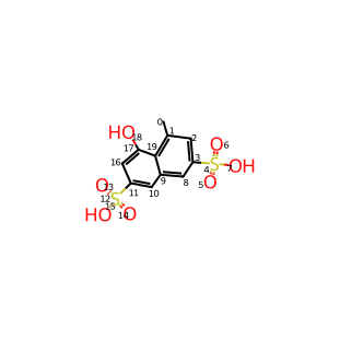 Cc1cc(S(=O)(=O)O)cc2cc(S(=O)(=O)O)cc(O)c12